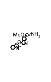 COc1cc2c(Oc3cc4ccccc4nc3C)ccnc2cc1OCCN